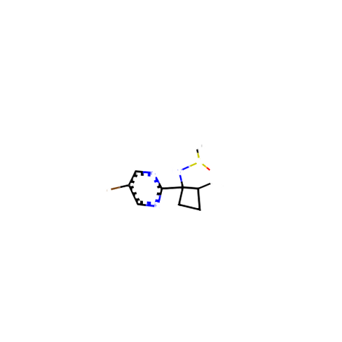 CC1CCC1(N[S+]([O-])C(C)(C)C)c1ncc(Br)cn1